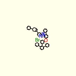 Brc1cc(Oc2ccc3c4ccccc4n(C4=CC(C5CC6CC(c7ccccc7)CC5C6)=CCN4)c3c2)cc(-c2c(C3=CCCC=C3)cccc2-c2ccccc2)c1